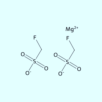 O=S(=O)([O-])CF.O=S(=O)([O-])CF.[Mg+2]